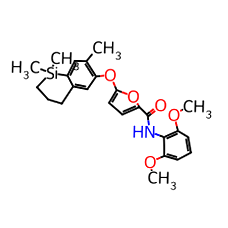 COc1cccc(OC)c1NC(=O)c1ccc(Oc2cc3c(cc2C)[Si](C)(C)CCC3)o1